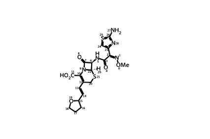 CO/N=C(\C(=O)N[C@@H]1C(=O)N2C(C(=O)O)=C(/C=C/C3CCCO3)CS[C@H]12)c1csc(N)n1